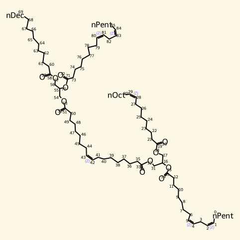 CCCCC/C=C\C/C=C\CCCCCCCC(=O)OC(COC(=O)CCCCCCC/C=C\CCCCCCCC)COC(=O)CCCCCCC/C=C\CCCCCCCC(=O)OCC(COC(=O)CCCCCCCCCCCCCCCCCCC)OC(=O)CCCCCCC/C=C\C/C=C\CCCCC